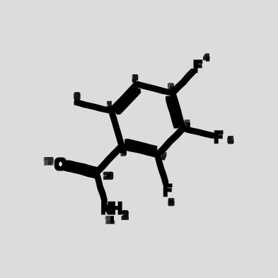 Cc1cc(F)c(F)c(F)c1C(N)=O